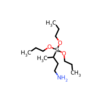 CCCO[Si](OCCC)(OCCC)C(C)CCN